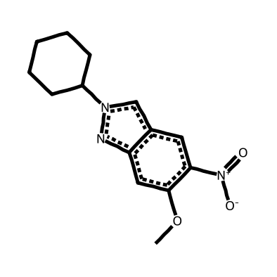 COc1cc2nn(C3CCCCC3)cc2cc1[N+](=O)[O-]